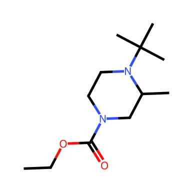 CCOC(=O)N1CCN(C(C)(C)C)C(C)C1